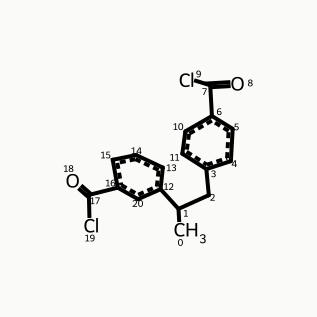 CC(Cc1ccc(C(=O)Cl)cc1)c1cccc(C(=O)Cl)c1